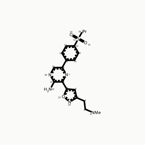 CNCCc1cc(-c2nc(-c3ccc(S(=O)(=O)C(C)C)cc3)cnc2N)on1